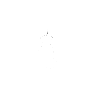 CCCCCCCCN1CC(Cl)=C[S+]1[O-]